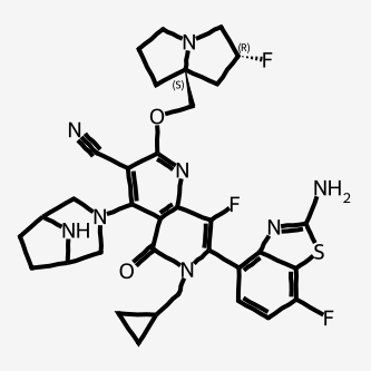 N#Cc1c(OC[C@@]23CCCN2C[C@H](F)C3)nc2c(F)c(-c3ccc(F)c4sc(N)nc34)n(CC3CC3)c(=O)c2c1N1CC2CCC(C1)N2